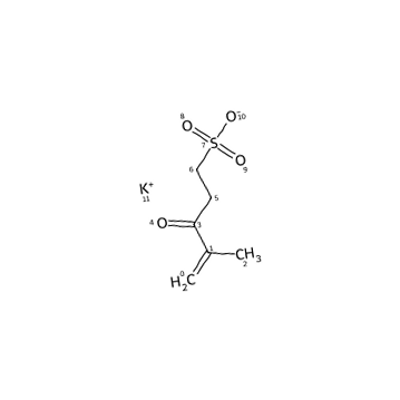 C=C(C)C(=O)CCS(=O)(=O)[O-].[K+]